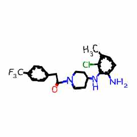 Cc1ccc(N)c(NC2CCN(C(=O)Cc3ccc(C(F)(F)F)cc3)CC2)c1Cl